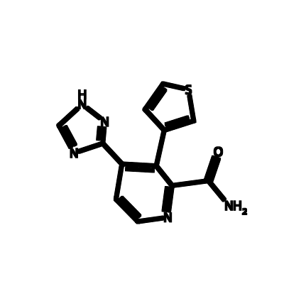 NC(=O)c1nccc(-c2nc[nH]n2)c1-c1ccsc1